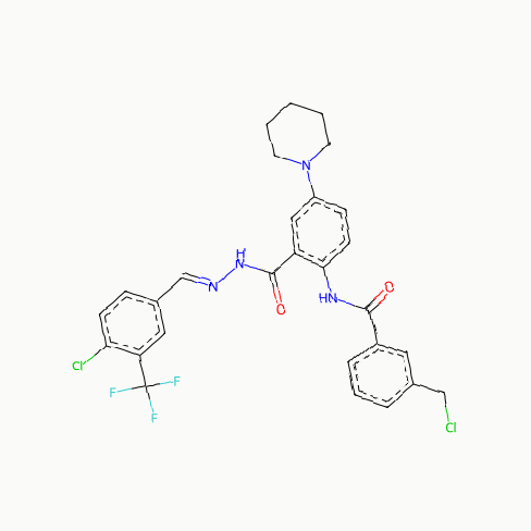 O=C(Nc1ccc(N2CCCCC2)cc1C(=O)NN=Cc1ccc(Cl)c(C(F)(F)F)c1)c1cccc(CCl)c1